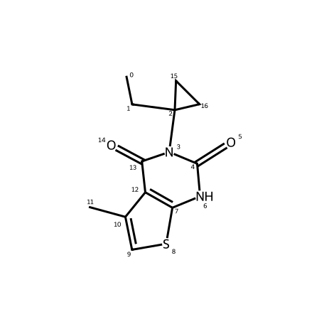 CCC1(n2c(=O)[nH]c3scc(C)c3c2=O)CC1